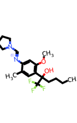 CCCCC(O)(c1cc(C)c(/N=C/N2CCCC2)cc1OC)C(F)(F)F